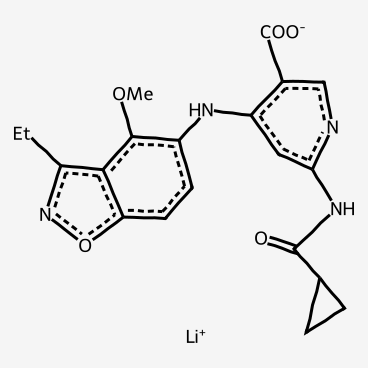 CCc1noc2ccc(Nc3cc(NC(=O)C4CC4)ncc3C(=O)[O-])c(OC)c12.[Li+]